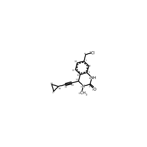 CN1C(=O)Nc2cc(CCl)ccc2C1C#CC1CC1